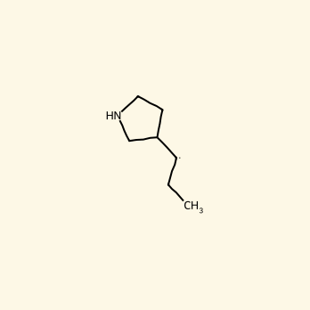 CC[CH]C1CCNC1